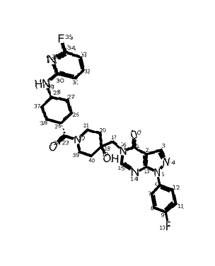 O=c1c2cnn(-c3ccc(F)cc3)c2ncn1CC1(O)CCN(C(=O)[C@H]2CC[C@H](Nc3cccc(F)n3)CC2)CC1